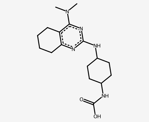 CN(C)c1nc(NC2CCC(NC(=O)O)CC2)nc2c1CCCC2